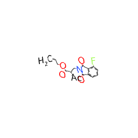 C=CCOC(=O)C(CN1C(=O)c2cccc(F)c2C1=O)C(C)=O